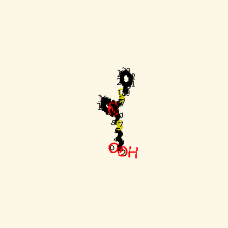 O=C(O)CCCCSCCC1C2CCC(O2)C1CSCC1CCCCC1